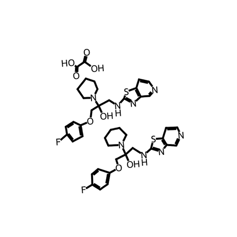 O=C(O)C(=O)O.OC(CNc1nc2cnccc2s1)(COc1ccc(F)cc1)N1CCCCC1.OC(CNc1nc2cnccc2s1)(COc1ccc(F)cc1)N1CCCCC1